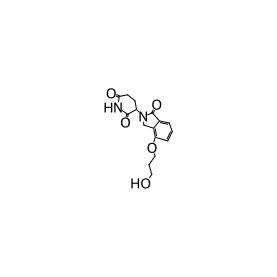 O=C1CCC(N2Cc3c(OCCCO)cccc3C2=O)C(=O)N1